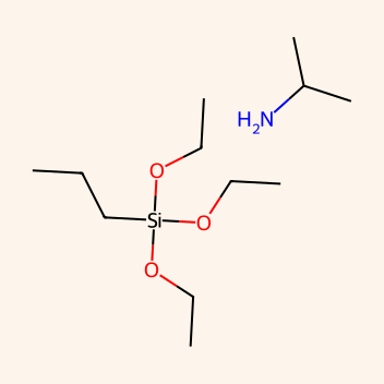 CC(C)N.CCC[Si](OCC)(OCC)OCC